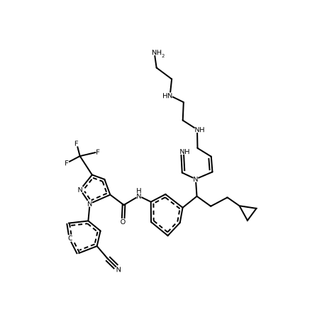 N#Cc1cccc(-n2nc(C(F)(F)F)cc2C(=O)Nc2cccc(C(CCC3CC3)N(C=N)/C=C\CNCCNCCN)c2)c1